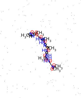 CCC(=O)N(CCCCCC(=O)NCC(=O)N[C@@H](C)C(=O)Nc1ccc(NC(=O)c2sc(-c3ccc(NC(=O)c4cc(NC(=O)CCCOc5cc6c(cc5OC)C(=O)N5CCC(C)C[C@H]5C=N6)cn4C)cn3)cc2C)cc1)C(C)=O